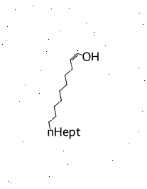 CCCCCCCCCCCCCCC/C=[C]\O